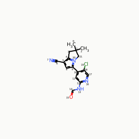 CC1(C)Cc2c(C#N)cc(-c3cc(NC=O)ncc3Cl)n2C1